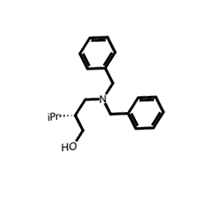 CC(C)[C@@H](CO)CN(Cc1ccccc1)Cc1ccccc1